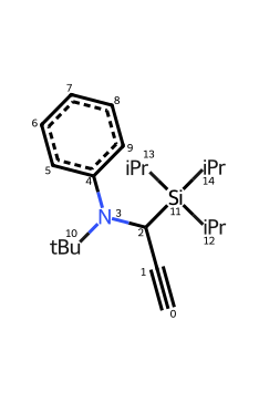 C#CC(N(c1ccccc1)C(C)(C)C)[Si](C(C)C)(C(C)C)C(C)C